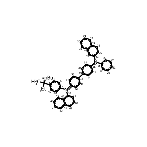 CCCCC(C)(CC)c1ccc(N(c2ccc(-c3ccc(N(c4ccccc4)c4ccc5ccccc5c4)cc3)cc2)c2cccc3ccccc23)cc1